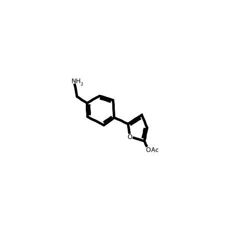 CC(=O)Oc1ccc(-c2ccc(CN)cc2)o1